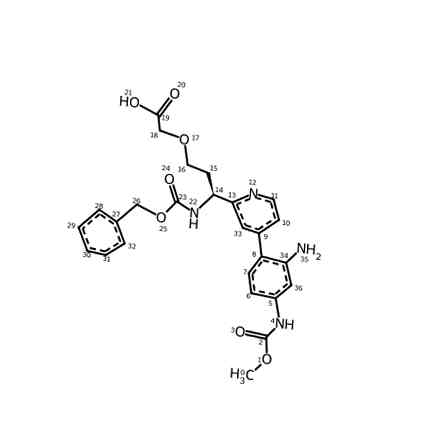 COC(=O)Nc1ccc(-c2ccnc([C@H](CCOCC(=O)O)NC(=O)OCc3ccccc3)c2)c(N)c1